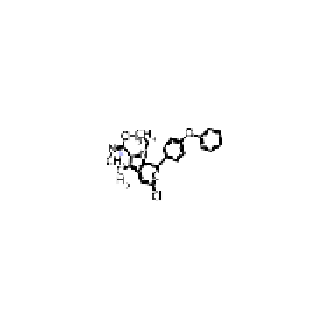 CCn1c(/C(C)=N\C)c(C)c2cc(Cl)cc(-c3ccc(Oc4ccccc4)cc3)c21